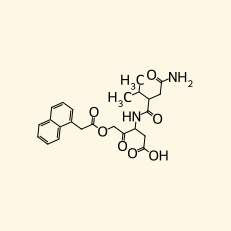 CC(C)C(CC(N)=O)C(=O)NC(CC(=O)O)C(=O)COC(=O)Cc1cccc2ccccc12